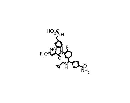 NC(=O)c1ccc(C(NCC2CC2)c2ccc(F)c(NC(=O)c3cc(C(F)(F)F)nn3-c3cccc(CNC(=O)O)c3)c2)cc1